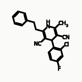 CC1=C(C#N)C(c2ccc(F)cc2Cl)C(C#N)=C(CCc2ccccc2)N1